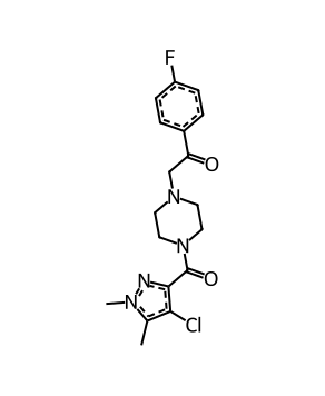 Cc1c(Cl)c(C(=O)N2CCN(CC(=O)c3ccc(F)cc3)CC2)nn1C